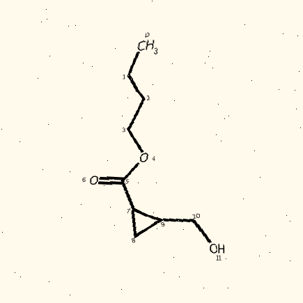 CCCCOC(=O)C1CC1CO